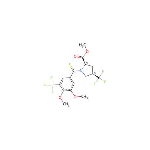 COC(=O)[C@H]1C[C@@H](C(F)(F)F)CN1C(=S)c1cc(OC)c(OC)c(C(F)(F)F)c1